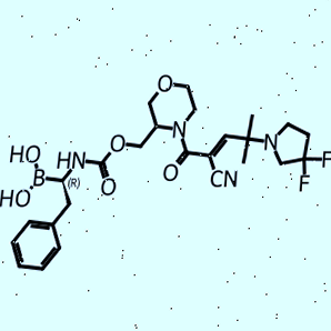 CC(C)(C=C(C#N)C(=O)N1CCOCC1COC(=O)N[C@@H](Cc1ccccc1)B(O)O)N1CCC(F)(F)C1